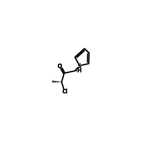 C[C@@H](Cl)C(=O)[CH][SH]1C=CC=C1